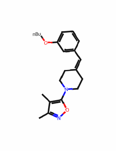 CCCCOc1cccc(C=C2CCN(c3onc(C)c3C)CC2)c1